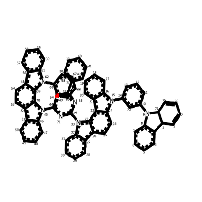 C1=CC2c3ccccc3N(c3cccc(-n4c5ccccc5c5c4ccc4c6ccccc6n(-c6nc(-c7ccccc7)nc(-n7c8ccccc8c8ccc9c%10ccccc%10n(-c%10ccccc%10)c9c87)n6)c45)c3)C2C=C1